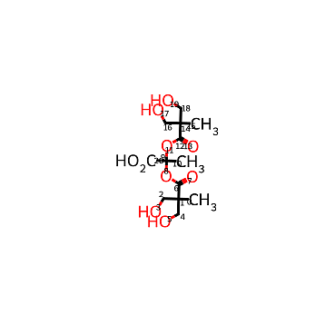 CC(CO)(CO)C(=O)OC(C)(OC(=O)C(C)(CO)CO)C(=O)O